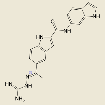 C/C(=N\NC(=N)N)c1ccc2[nH]c(C(=O)Nc3ccc4cc[nH]c4c3)cc2c1